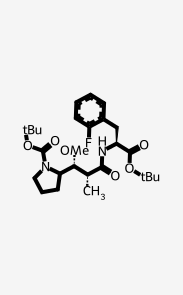 CO[C@@H](C1CCCN1C(=O)OC(C)(C)C)[C@@H](C)C(=O)N[C@@H](Cc1ccccc1F)C(=O)OC(C)(C)C